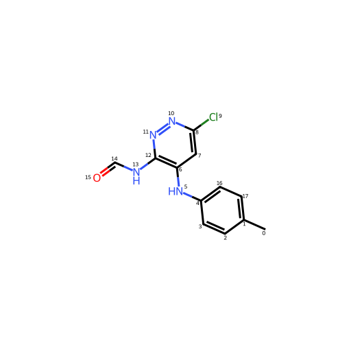 Cc1ccc(Nc2cc(Cl)nnc2NC=O)cc1